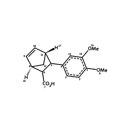 COc1ccc(C2C(C(=O)O)[C@H]3C=C[C@H]2C3)cc1OC